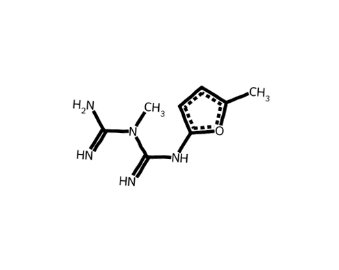 Cc1ccc(NC(=N)N(C)C(=N)N)o1